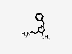 CC1CN(Cc2ccccc2)CC1CCN